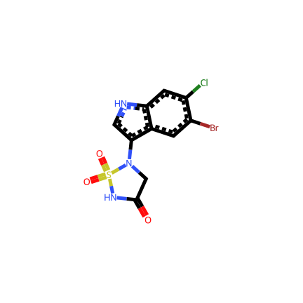 O=C1CN(c2c[nH]c3cc(Cl)c(Br)cc23)S(=O)(=O)N1